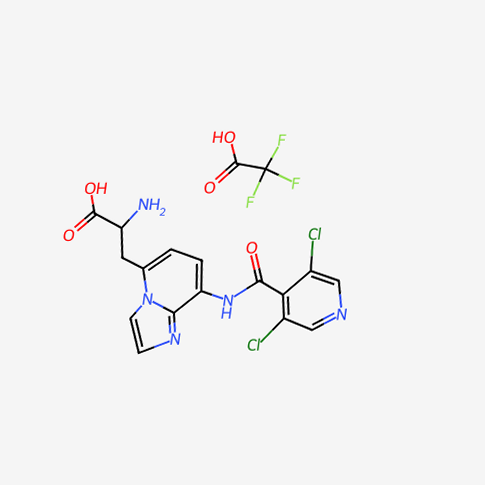 NC(Cc1ccc(NC(=O)c2c(Cl)cncc2Cl)c2nccn12)C(=O)O.O=C(O)C(F)(F)F